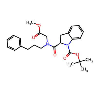 COC(=O)CN(CCCc1ccccc1)C(=O)[C@H]1Cc2ccccc2N1C(=O)OC(C)(C)C